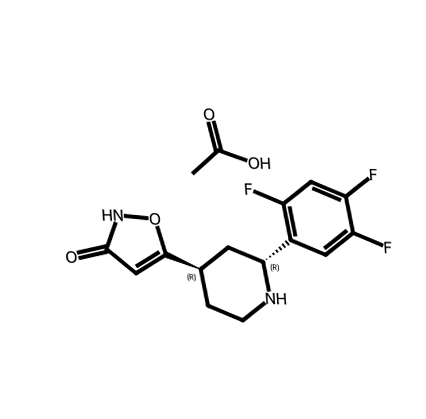 CC(=O)O.O=c1cc([C@@H]2CCN[C@@H](c3cc(F)c(F)cc3F)C2)o[nH]1